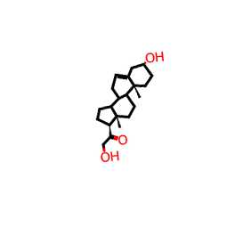 C[C@]12CC[C@H](O)CC1=CCC1C2CC[C@@]2(C)C1CC[C@@H]2C(=O)CO